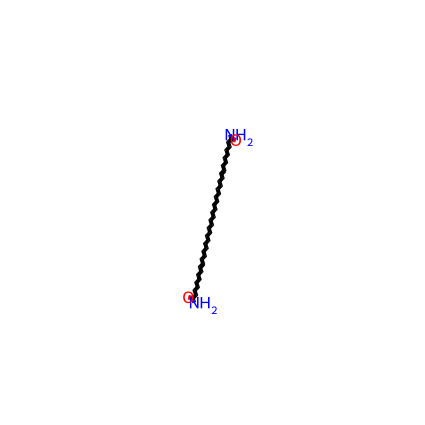 NC(=O)CCCCCCCC=CCCCCCCCCCCCCCCCCCCCCCCC=CCCCCCCCC(N)=O